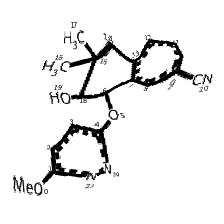 COc1ccc(OC2c3cc(C#N)ccc3CC(C)(C)C2O)nn1